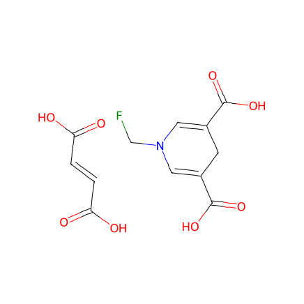 O=C(O)C1=CN(CF)C=C(C(=O)O)C1.O=C(O)C=CC(=O)O